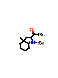 CC1(CC(NC(C)(C)C)C(=O)C(C)(C)C)CCCCC1